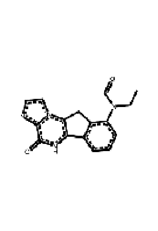 CCN(C=O)c1cccc2c1Cc1c-2[nH]c(=O)c2nccn12